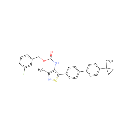 Cc1nsc(-c2ccc(-c3ccc(C4(C(=O)O)CC4)cc3)cc2)c1NC(=O)OCc1cccc(F)c1